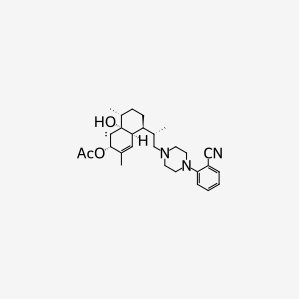 CC(=O)O[C@@H]1[C][C@@]2(O)[C@H](C)CC[C@@H]([C@H](C)CN3CCN(c4ccccc4C#N)CC3)[C@H]2C=C1C